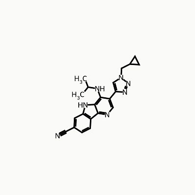 CC(C)Nc1c(-c2cn(CC3CC3)nn2)cnc2c1[nH]c1cc(C#N)ccc12